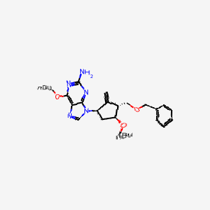 C=C1C(n2cnc3c(OCCCC)nc(N)nc32)C[C@H](OCCCC)[C@H]1COCc1ccccc1